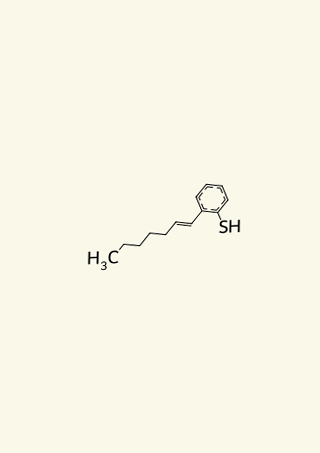 CCCCCC=Cc1ccccc1S